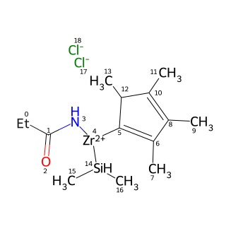 CCC(=O)[NH][Zr+2]([C]1=C(C)C(C)=C(C)C1C)[SiH](C)C.[Cl-].[Cl-]